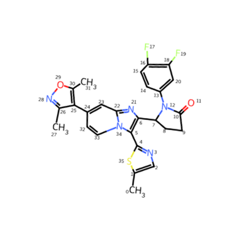 Cc1cnc(-c2c(C3CCC(=O)N3c3ccc(F)c(F)c3)nc3cc(-c4c(C)noc4C)ccn23)s1